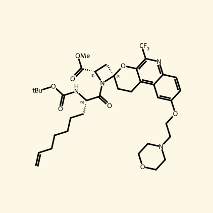 C=CCCCCC[C@H](NC(=O)OC(C)(C)C)C(=O)N1[C@H](C(=O)OC)C[C@]12CCc1c(c(C(F)(F)F)nc3ccc(OCCN4CCOCC4)cc13)O2